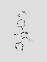 COc1ccc(-c2nc(C)c(-c3cccnc3)n2O)cc1